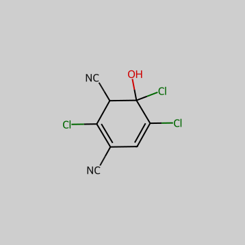 N#CC1=C(Cl)C(C#N)C(O)(Cl)C(Cl)=C1